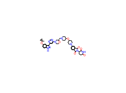 CC1(Oc2ccc3[nH]nc(-c4cc(N5CCO[C@H](CN6CCC(OC7CCN(c8ccc9c(c8)C(=O)N(C8CCC(=O)NC8=O)C9=O)CC7)CC6)C5)ncn4)c3c2)CC1